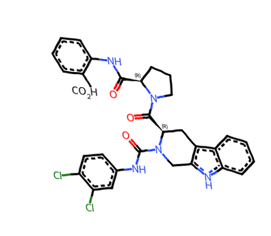 O=C(O)c1ccccc1NC(=O)[C@H]1CCCN1C(=O)[C@H]1Cc2c([nH]c3ccccc23)CN1C(=O)Nc1ccc(Cl)c(Cl)c1